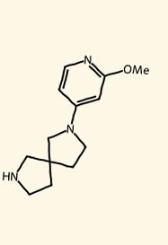 COc1cc(N2CCC3(CCNC3)C2)ccn1